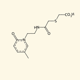 Cc1ccc(=O)n(CCNC(=O)CSCC(=O)O)c1